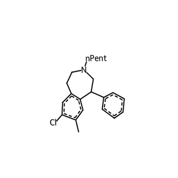 CCCCCN1CCc2cc(Cl)c(C)cc2C(c2ccccc2)C1